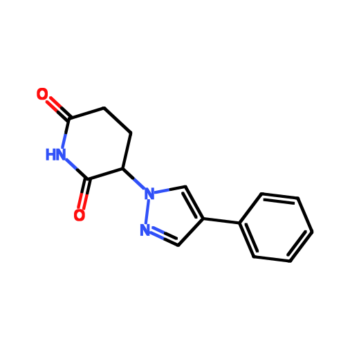 O=C1CCC(n2cc(-c3ccccc3)cn2)C(=O)N1